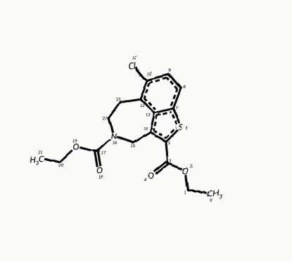 CCOC(=O)c1sc2ccc(Cl)c3c2c1CN(C(=O)OCC)CC3